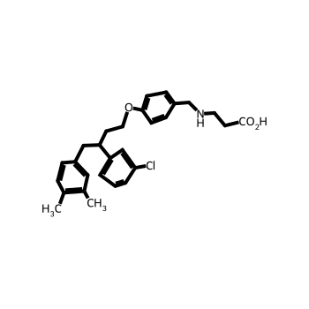 Cc1ccc(CC(CCOc2ccc(CNCCC(=O)O)cc2)c2cccc(Cl)c2)cc1C